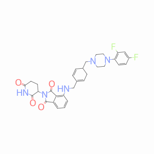 O=C1CCC(N2C(=O)c3cccc(NCC4=CCC(CN5CCN(c6ccc(F)cc6F)CC5)C=C4)c3C2=O)C(=O)N1